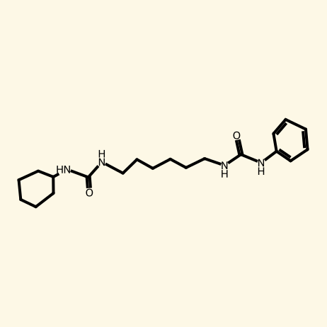 O=C(NCCCCCCNC(=O)NC1CCCCC1)Nc1ccccc1